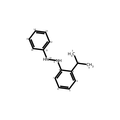 CC(C)c1ccccc1NNc1ccccc1